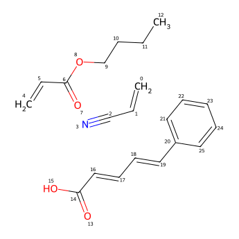 C=CC#N.C=CC(=O)OCCCC.O=C(O)C=CC=Cc1ccccc1